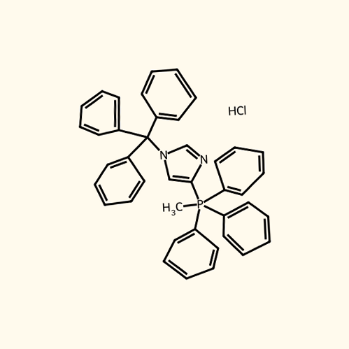 CP(c1ccccc1)(c1ccccc1)(c1ccccc1)c1cn(C(c2ccccc2)(c2ccccc2)c2ccccc2)cn1.Cl